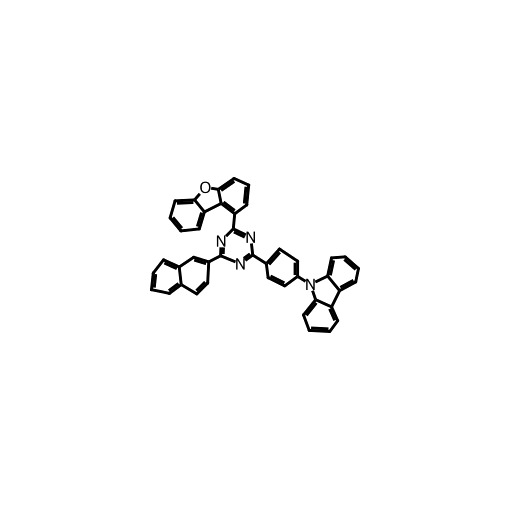 c1ccc2cc(-c3nc(-c4ccc(-n5c6ccccc6c6ccccc65)cc4)nc(-c4cccc5oc6ccccc6c45)n3)ccc2c1